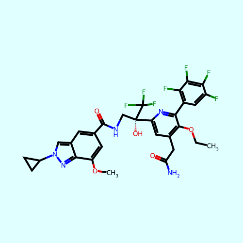 CCOc1c(CC(N)=O)cc([C@@](O)(CNC(=O)c2cc(OC)c3nn(C4CC4)cc3c2)C(F)(F)F)nc1-c1cc(F)c(F)c(F)c1F